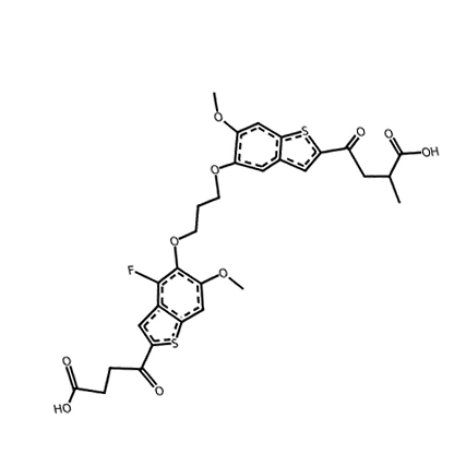 COc1cc2sc(C(=O)CC(C)C(=O)O)cc2cc1OCCCOc1c(OC)cc2sc(C(=O)CCC(=O)O)cc2c1F